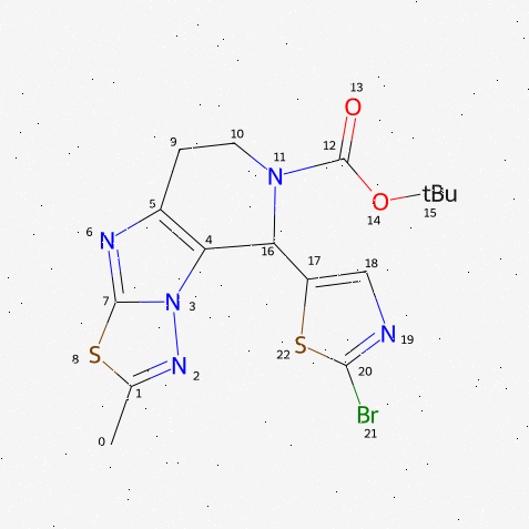 Cc1nn2c3c(nc2s1)CCN(C(=O)OC(C)(C)C)C3c1cnc(Br)s1